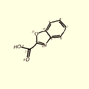 O=C(O)c1nc2ccccc2o1